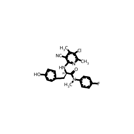 Cc1nc(N[C@H](Cc2ccc(O)cc2)C(=O)N(C)c2ccc(F)cc2)c(C#N)c(C)c1Cl